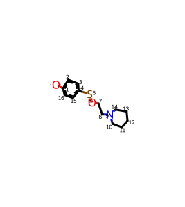 [O]c1ccc(SOCCN2CCCCC2)cc1